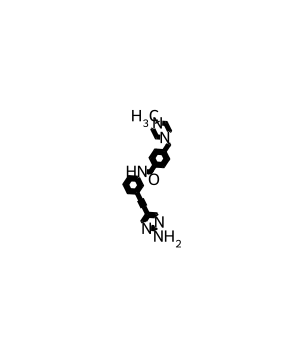 CN1CCN(Cc2ccc(C(=O)Nc3cccc(C#Cc4cnc(N)nc4)c3)cc2)CC1